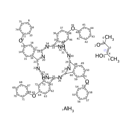 CC(=O)/C=C(/C)O.[AlH3].c1ccc(Oc2ccc3c(c2)-c2nc-3nc3[nH]c(nc4nc(nc5[nH]c(n2)c2ccc(Oc6ccccc6)cc52)-c2ccc(Oc5ccccc5)cc2-4)c2ccc(Oc4ccccc4)cc32)cc1